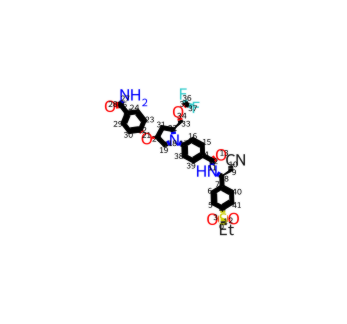 CCS(=O)(=O)c1ccc([C@H](CC#N)NC(=O)c2ccc(N3C[C@@H](Oc4ccc(C(N)=O)cc4)C[C@H]3COC(F)F)cc2)cc1